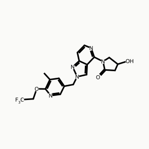 Cc1cc(Cn2cc3c(N4CC(O)CC4=O)nccc3n2)cnc1OCC(F)(F)F